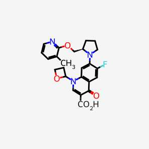 Cc1cccnc1OC[C@H]1CCCN1c1cc2c(cc1F)c(=O)c(C(=O)O)cn2C1CCO1